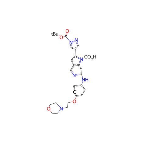 CC(C)(C)OC(=O)n1cc(-c2cc3cnc(Nc4ccc(OCCN5CCOCC5)cc4)cc3n2C(=O)O)cn1